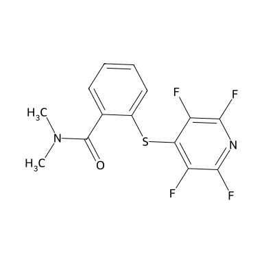 CN(C)C(=O)c1ccccc1Sc1c(F)c(F)nc(F)c1F